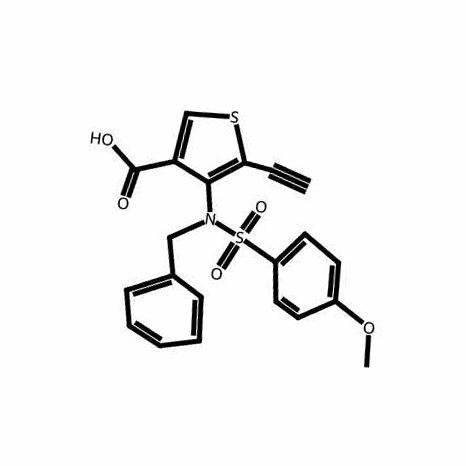 C#Cc1scc(C(=O)O)c1N(Cc1ccccc1)S(=O)(=O)c1ccc(OC)cc1